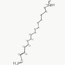 CNCCCCCCCCCCCCCCCOP